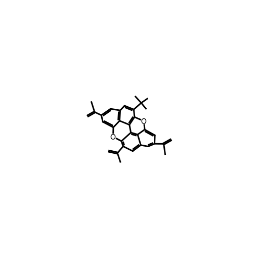 C=C(C)c1cc2cc(C(=C)C)c3oc4cc(C(=C)C)cc5cc(C(C)(C)C)c6oc(c1)c2c3-c6c54